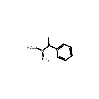 CC(c1ccccc1)N(N)C(=O)O